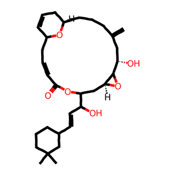 C=C1CCC[C@@H]2CC=CC(C/C=C\C(=O)OC(C(O)/C=C/C3CCCC(C)(C)C3)C[C@@H]3OC3[C@@H](O)C1)O2